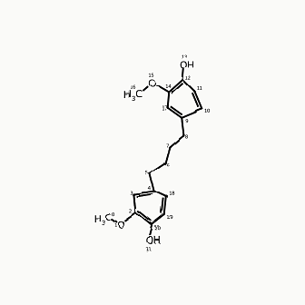 COc1cc(CCCCc2ccc(O)c(OC)c2)ccc1O